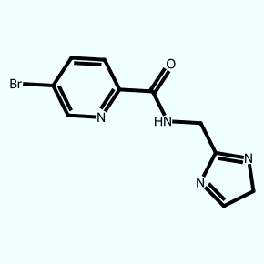 O=C(NCC1=NCC=N1)c1ccc(Br)cn1